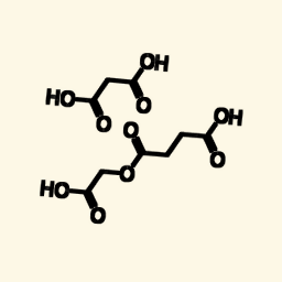 O=C(O)CC(=O)O.O=C(O)CCC(=O)OCC(=O)O